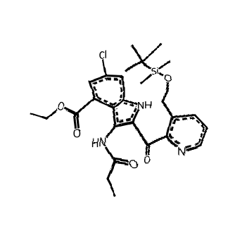 CCOC(=O)c1cc(Cl)cc2[nH]c(C(=O)c3ncccc3CO[Si](C)(C)C(C)(C)C)c(NC(=O)CC)c12